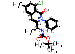 Cc1cc(Cl)c2c(=O)n(-c3ccccc3)c([C@H](C)NC(=O)OC(C)(C)C)cc2c1